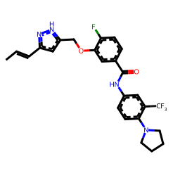 CC=Cc1cc(COc2cc(C(=O)Nc3ccc(N4CCCC4)c(C(F)(F)F)c3)ccc2F)[nH]n1